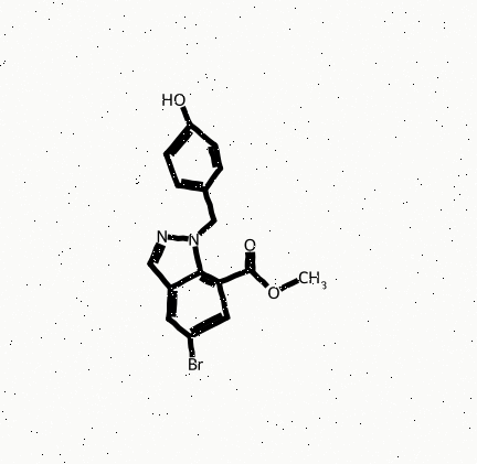 COC(=O)c1cc(Br)cc2cnn(Cc3ccc(O)cc3)c12